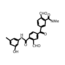 CNC(=O)c1cc(C(=O)c2ccc(C(=O)Nc3cc(C)cc(O)c3)c(C=O)c2)ccc1C=O